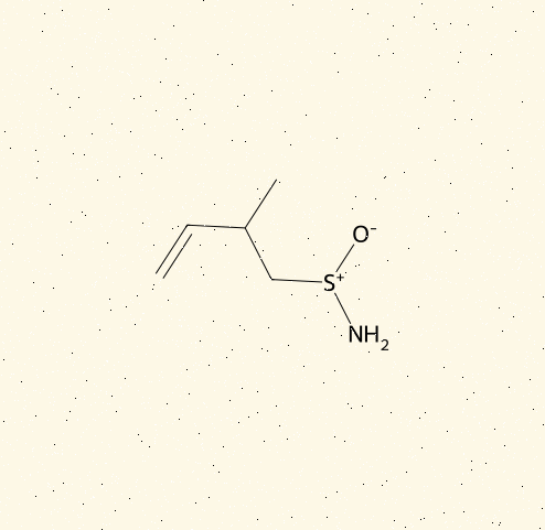 C=CC(C)C[S+](N)[O-]